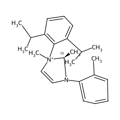 Cc1ccccc1N1C=C[N+](C)(c2c(C(C)C)cccc2C(C)C)[C@H]1C